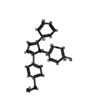 CCOc1ccc(-c2nnc(-c3cccnc3)n2-c2ccc(C)cc2)cc1